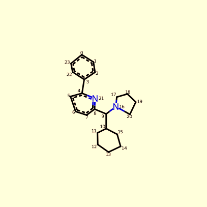 c1ccc(-c2cccc(C(C3CCCCC3)N3CCCC3)n2)cc1